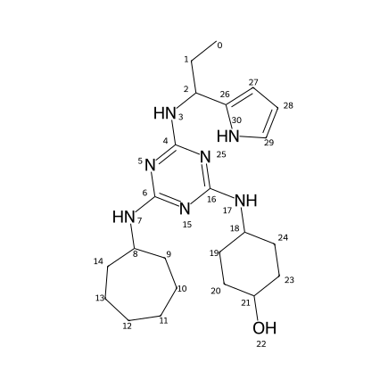 CCC(Nc1nc(NC2CCCCCC2)nc(NC2CCC(O)CC2)n1)c1ccc[nH]1